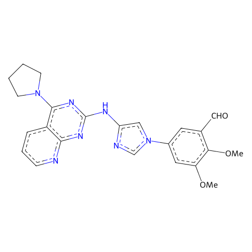 COc1cc(-n2cnc(Nc3nc(N4CCCC4)c4cccnc4n3)c2)cc(C=O)c1OC